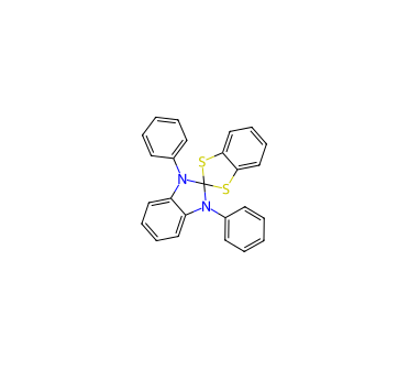 c1ccc(N2c3ccccc3N(c3ccccc3)C23Sc2ccccc2S3)cc1